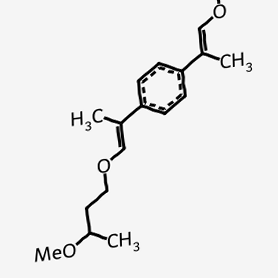 CCCOC=C(C)c1ccc(C(C)=COCCC(C)OC)cc1